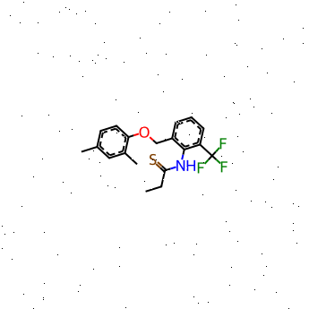 CCC(=S)Nc1c(COc2ccc(C)cc2C)cccc1C(F)(F)F